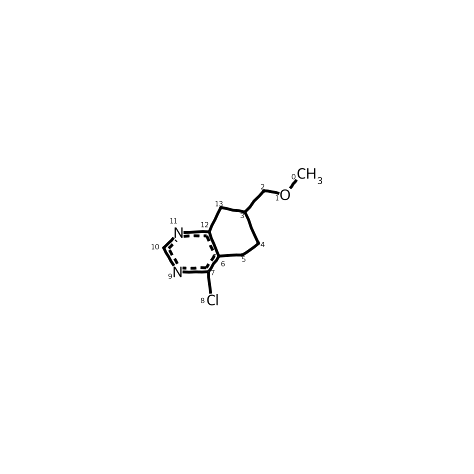 COCC1CCc2c(Cl)ncnc2C1